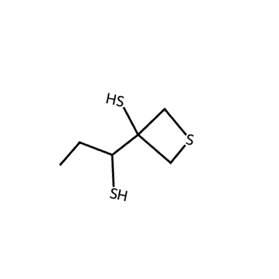 CCC(S)C1(S)CSC1